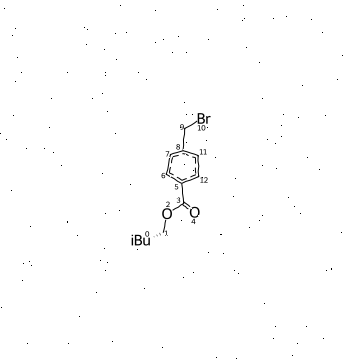 CC[C@@H](C)COC(=O)c1ccc(CBr)cc1